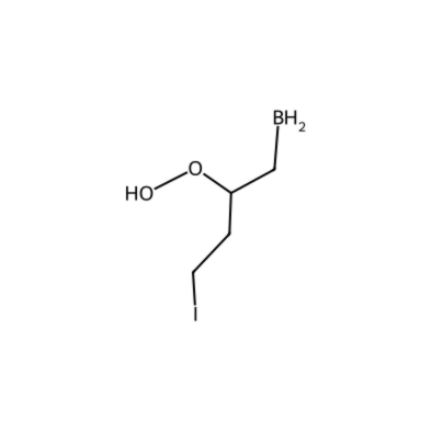 BCC(CCI)OO